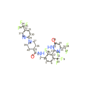 O=C(NCc1ccc(C(F)(F)F)c(-c2nc(C(F)F)cc(=O)[nH]2)c1F)C1CCN(c2ccc(C(F)(F)F)cn2)CC1